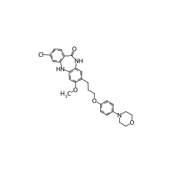 COc1cc2c(cc1CCCOc1ccc(N3CCOCC3)cc1)NC(=O)c1ccc(Cl)cc1N2